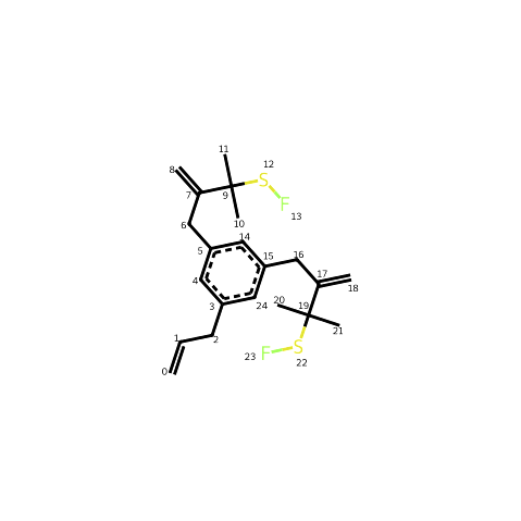 C=CCc1cc(CC(=C)C(C)(C)SF)cc(CC(=C)C(C)(C)SF)c1